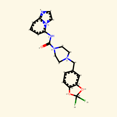 O=C(Nc1cccc2nccn12)N1CCN(Cc2ccc3c(c2)OC(F)(F)O3)CC1